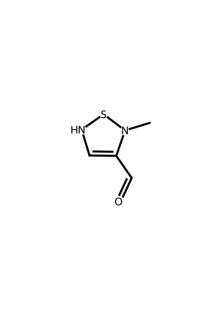 CN1SNC=C1C=O